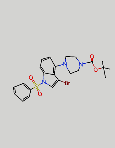 CC(C)(C)OC(=O)N1CCN(c2cccc3c2c(Br)cn3S(=O)(=O)c2ccccc2)CC1